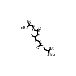 CCCCC(CC)COC(=O)CCC(C)CC(=O)OCC(CC)CCCC